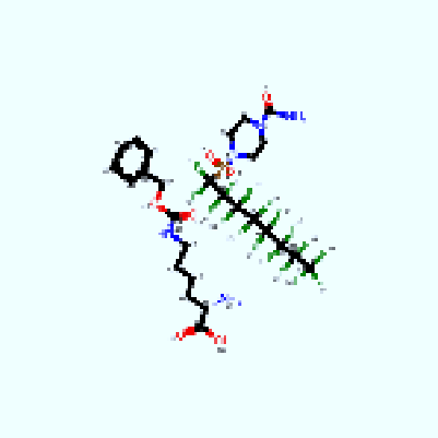 NC(=O)N1CCN(S(=O)(=O)C(F)(F)C(F)(F)C(F)(F)C(F)(F)C(F)(F)C(F)(F)C(F)(F)C(F)(F)F)CC1.N[C@@H](CCCCNC(=O)OCc1ccccc1)C(=O)O